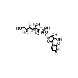 O=C(OP(=O)(O)OC[C@H]1O[C@@H](n2ccc(=O)[nH]c2=O)[C@H](O)[C@@H]1O)[C@H](O)[C@@H](O)[C@H](O)[C@H](O)CO